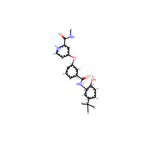 CNC(=O)c1cc(Oc2cccc(C(=O)Nc3cc(C(C)(C)C)ccc3O)c2)ccn1